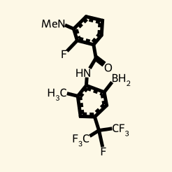 Bc1cc(C(F)(C(F)(F)F)C(F)(F)F)cc(C)c1NC(=O)c1cccc(NC)c1F